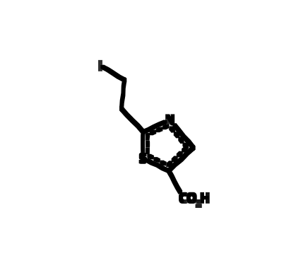 O=C(O)c1cnc(CCI)s1